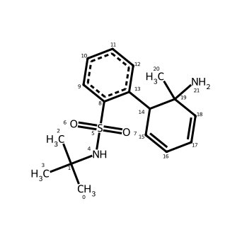 CC(C)(C)NS(=O)(=O)c1ccccc1C1C=CC=CC1(C)N